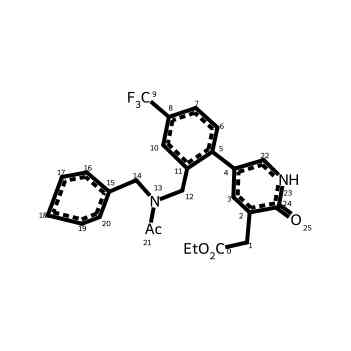 CCOC(=O)Cc1cc(-c2ccc(C(F)(F)F)cc2CN(Cc2ccccc2)C(C)=O)c[nH]c1=O